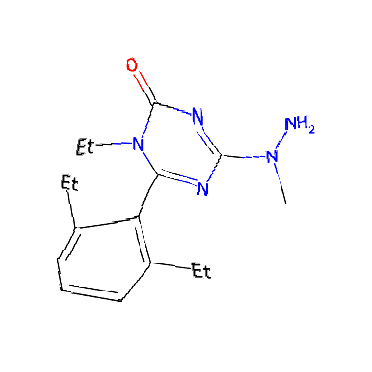 CCc1cccc(CC)c1-c1nc(N(C)N)nc(=O)n1CC